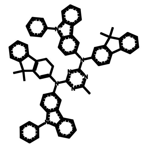 Cc1nc(N(C2=CC3=C(CC2)c2ccccc2C3(C)C)c2ccc3c(c2)c2ccccc2n3-c2ccccc2)nc(N(c2ccc3c(c2)C(C)(C)c2ccccc2-3)c2ccc3c(c2)c2ccccc2n3-c2ccccc2)n1